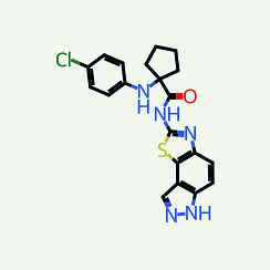 O=C(Nc1nc2ccc3[nH]ncc3c2s1)C1(Nc2ccc(Cl)cc2)CCCC1